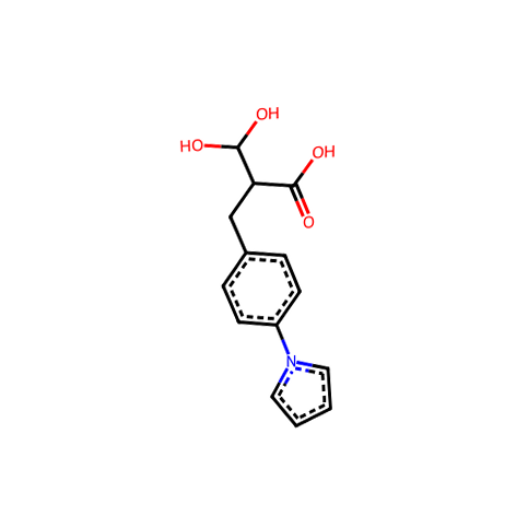 O=C(O)C(Cc1ccc(-n2cccc2)cc1)C(O)O